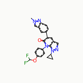 Cn1cc2cc(-c3cc4cnn(C5CC5)c4n(-c4ccc(OC(F)F)cc4)c3=O)ccc2n1